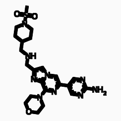 CS(=O)(=O)N1CCC(CNCc2cn3cc(-c4cnc(N)nc4)nc(N4CCOCC4)c3n2)CC1